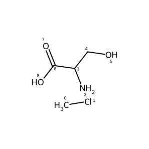 CCl.NC(CO)C(=O)O